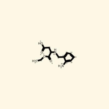 CCOC(=O)C(CC(=O)O)NCc1ccccc1N